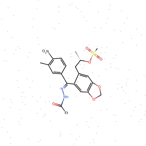 CCC(=O)N/N=C(/c1ccc([N+](=O)[O-])c(C)c1)c1cc2c(cc1C[C@H](C)OS(C)(=O)=O)OCO2